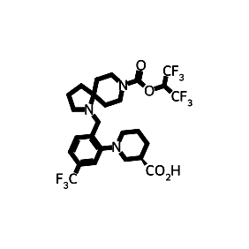 O=C(O)[C@@H]1CCCN(c2cc(C(F)(F)F)ccc2CN2CCCC23CCN(C(=O)OC(C(F)(F)F)C(F)(F)F)CC3)C1